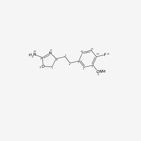 COc1cc(CCC2COC(N)=N2)ccc1F